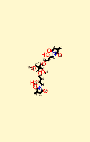 C=C1CC(=O)N(CC(O)CCOCC(COC)(COC)COCCC(O)CN2C(=O)CC(=C)C2=O)C1=O